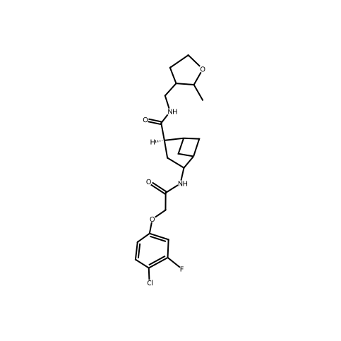 CC1OCCC1CNC(=O)[C@@H]1CC(NC(=O)COc2ccc(Cl)c(F)c2)C2CC1C2